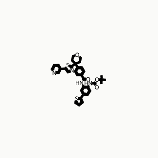 CC(C)(C)OC(=O)Nc1ccc(-c2cccs2)cc1NC(=O)c1ccc(C2(c3ncc(-c4cccnc4)s3)CCOCC2)cc1